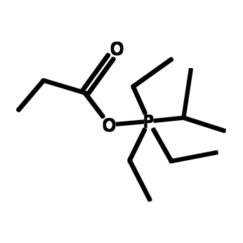 CCC(=O)OP(CC)(CC)(CC)C(C)C